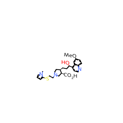 COc1ccc2nccc([C@H](O)CC[C@@H]3CCN(CCSc4cccn4C)C[C@@H]3C(=O)O)c2c1